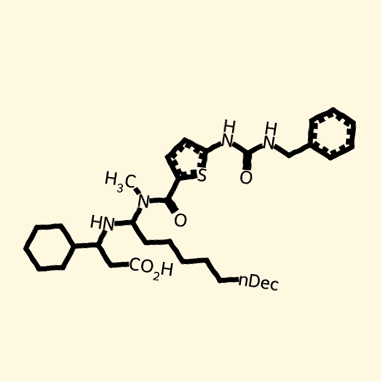 CCCCCCCCCCCCCCCC(NC(CC(=O)O)C1CCCCC1)N(C)C(=O)c1ccc(NC(=O)NCc2ccccc2)s1